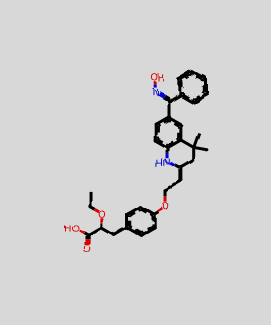 CCOC(Cc1ccc(OCCC2CC(C)(C)c3cc(C(=NO)c4ccccc4)ccc3N2)cc1)C(=O)O